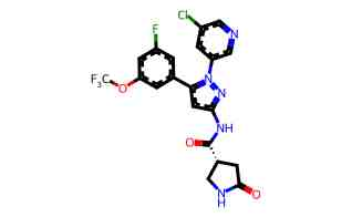 O=C1C[C@@H](C(=O)Nc2cc(-c3cc(F)cc(OC(F)(F)F)c3)n(-c3cncc(Cl)c3)n2)CN1